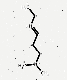 CCN=CCCN(C)C